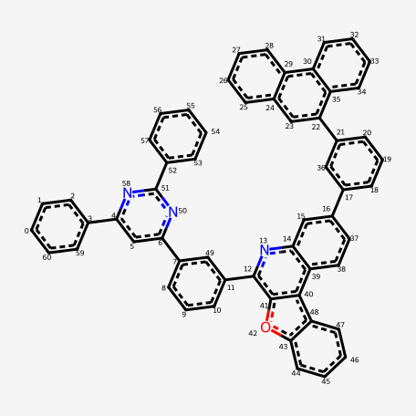 c1ccc(-c2cc(-c3cccc(-c4nc5cc(-c6cccc(-c7cc8ccccc8c8ccccc78)c6)ccc5c5c4oc4ccccc45)c3)nc(-c3ccccc3)n2)cc1